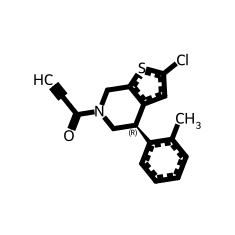 C#CC(=O)N1Cc2sc(Cl)cc2[C@@H](c2ccccc2C)C1